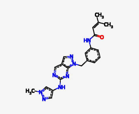 CC(C)=CC(=O)Nc1cccc(Cn2ncc3cnc(Nc4cnn(C)c4)nc32)c1